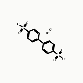 O=S(=O)([O-])c1ccc(-c2ccc(S(=O)(=O)[O-])cc2)cc1.[K+].[K+]